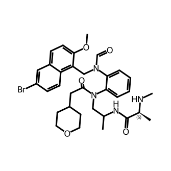 CN[C@@H](C)C(=O)NC(C)CN(C(=O)CC1CCOCC1)c1ccccc1N(C=O)Cc1c(OC)ccc2cc(Br)ccc12